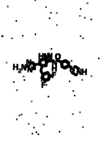 Nc1ncc(-c2cc3[nH]nc(NC(=O)c4ccc(N5CCNCC5)cc4)c3cc2Cc2cc(F)cc(F)c2)cn1